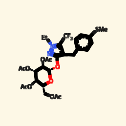 CCn1nc(O[C@@H]2O[C@H](COC(C)=O)[C@@H](OC(C)=O)[C@H](OC(C)=O)[C@H]2OC(C)=O)c(Cc2ccc(SC)cc2)c1C(F)(F)F